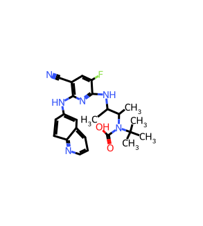 CC(Nc1nc(Nc2ccc3ncccc3c2)c(C#N)cc1F)C(C)N(C(=O)O)C(C)(C)C